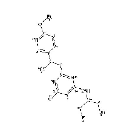 CCOc1ccc(C(C)Cc2nc(Cl)nc(NC(CO)CC(C)C)n2)cn1